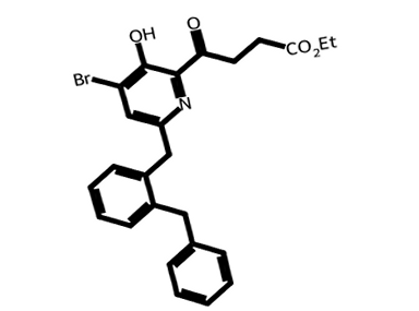 CCOC(=O)CCC(=O)c1nc(Cc2ccccc2Cc2ccccc2)cc(Br)c1O